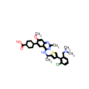 COc1cc2nc(C)nc(N[C@H](C)c3cc(-c4c(Cl)cccc4CN(C)C)cs3)c2cc1C1CCC(C(=O)O)CC1